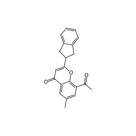 CC(=O)c1cc(C)cc2c(=O)cc(C3Cc4ccccc4C3)oc12